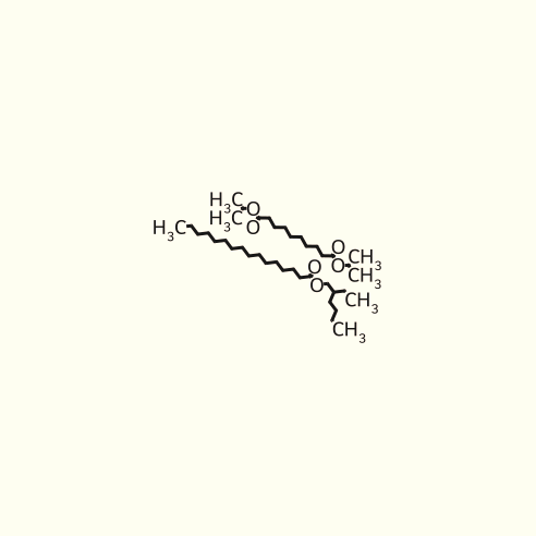 CC(C)OC(=O)CCCCCCCCC(=O)OC(C)C.CCCCCCCCCCCCCCCC(=O)OCC(CC)CCCC